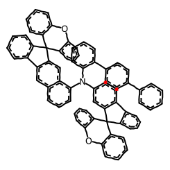 c1ccc(-c2ccc(-c3ccccc3N(c3ccc4c(c3)C3(c5ccccc5Oc5ccccc53)c3ccccc3-4)c3cccc4cc5c(cc34)C3(c4ccccc4Oc4ccccc43)c3ccccc3-5)cc2)cc1